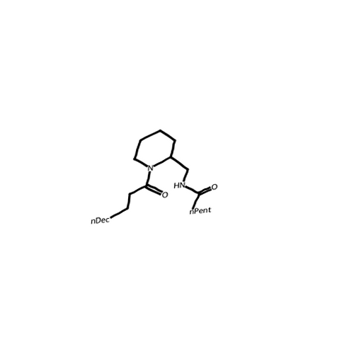 CCCCCCCCCCCCC(=O)N1CCCCC1CNC(=O)CCCCC